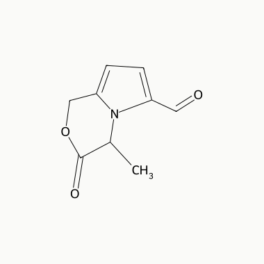 CC1C(=O)OCc2ccc(C=O)n21